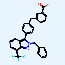 O=C(O)c1cccc(Cc2ccc(-c3c4cccc(C(F)(F)F)c4nn3Cc3ccccc3)cc2)c1